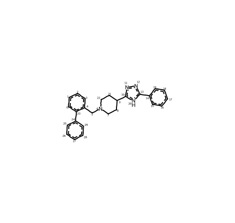 [c]1cccc(CN2CCC(c3nnc(-c4ccccc4)[nH]3)CC2)c1-c1ccccc1